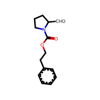 O=CC1CCCN1C(=O)OCCc1ccccc1